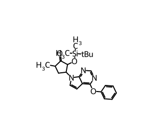 CC1CC(n2ccc3c(Oc4ccccc4)ncnc32)C(O[Si](C)(C)C(C)(C)C)C1=O